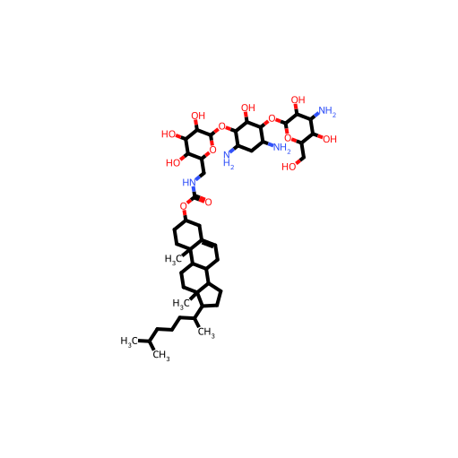 CC(C)CCCC(C)C1CCC2C3CC=C4CC(OC(=O)NCC5OC(OC6C(N)CC(N)C(OC7OC(CO)C(O)C(N)C7O)C6O)C(O)C(O)C5O)CCC4(C)C3CCC12C